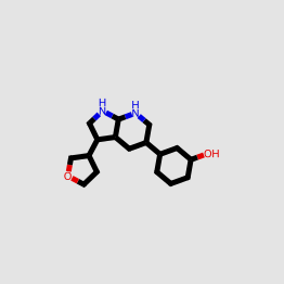 OC1CCCC(C2CNC3NCC(C4CCOC4)C3C2)C1